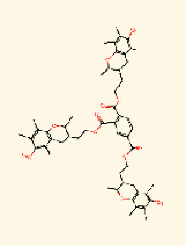 Cc1c(C)c2c(c(C)c1O)CC(CCOC(=O)c1ccc(C(=O)OCCC3Cc4c(C)c(O)c(C)c(C)c4OC3C)c(C(=O)OCCC3Cc4c(C)c(O)c(C)c(C)c4OC3C)c1)C(C)O2